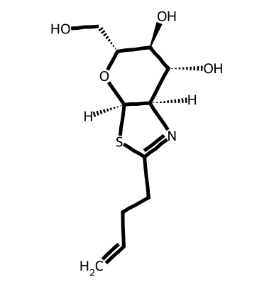 C=CCCC1=N[C@@H]2[C@@H](O)[C@H](O)[C@@H](CO)O[C@@H]2S1